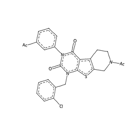 CC(=O)c1cccc(-n2c(=O)c3c4c(sc3n(Cc3ccccc3Cl)c2=O)CN(C(C)=O)CC4)c1